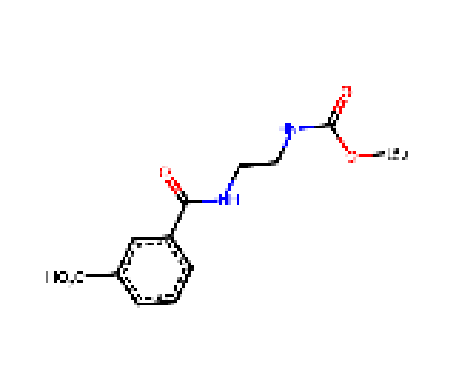 CC(C)(C)OC(=O)NCCNC(=O)c1cccc(C(=O)O)c1